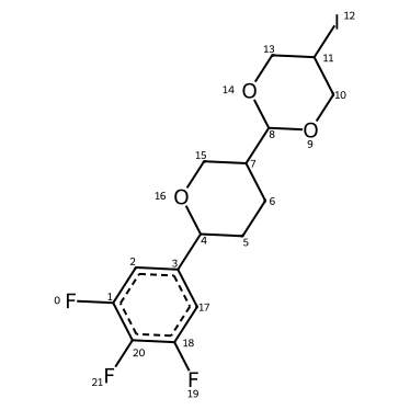 Fc1cc(C2CCC(C3OCC(I)CO3)CO2)cc(F)c1F